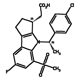 C[C@@H](c1ccc(Cl)cc1)n1c2c(c3cc(F)cc(S(C)(=O)=O)c31)CC[C@@H]2CC(=O)O